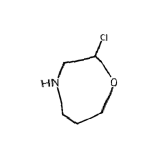 ClC1CNCCCO1